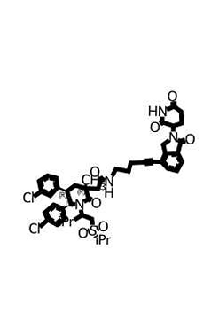 CC(C)C(CS(=O)(=O)C(C)C)N1C(=O)[C@@](C)(CC(=O)NCCCC#Cc2cccc3c2CN(C2CCC(=O)NC2=O)C3=O)C[C@H](c2cccc(Cl)c2)[C@H]1c1ccc(Cl)cc1